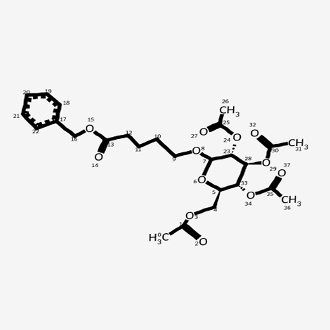 CC(=O)OC[C@H]1OC(OCCCCC(=O)OCc2ccccc2)[C@H](OC(C)=O)[C@@H](OC(C)=O)[C@@H]1OC(C)=O